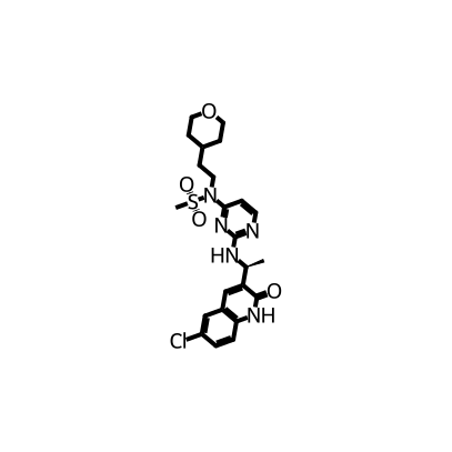 C[C@H](Nc1nccc(N(CCC2CCOCC2)S(C)(=O)=O)n1)c1cc2cc(Cl)ccc2[nH]c1=O